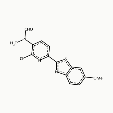 COc1ccc2nc(-c3ccc(N(C)C=O)c(Cl)n3)sc2c1